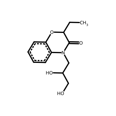 CCC1Oc2ccccc2N(CC(O)CO)C1=O